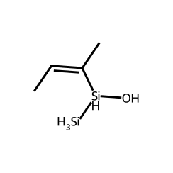 CC=C(C)[SiH](O)[SiH3]